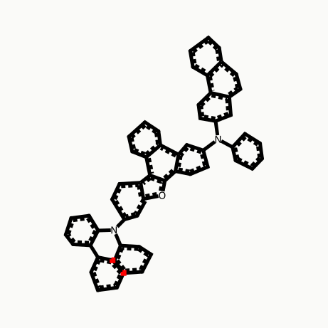 c1ccc(-c2ccccc2N(c2ccccc2)c2ccc3c(c2)oc2c4ccc(N(c5ccccc5)c5ccc6c(ccc7ccccc76)c5)cc4c4ccccc4c32)cc1